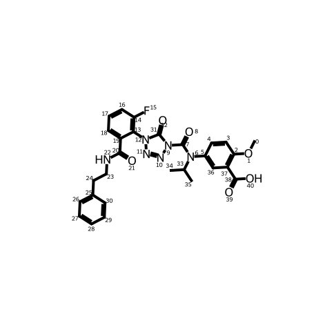 COc1ccc(N(C(=O)n2nnn(-c3c(F)cccc3C(=O)NCCc3ccccc3)c2=O)C(C)C)cc1C(=O)O